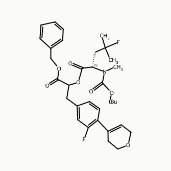 CN(C(=O)OC(C)(C)C)[C@@H](CC(C)(C)F)C(=O)OC(Cc1ccc(C2=CCOCC2)c(F)c1)C(=O)OCc1ccccc1